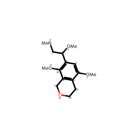 CNCC(OC)c1cc(OC)c2c(c1OC)COCC2